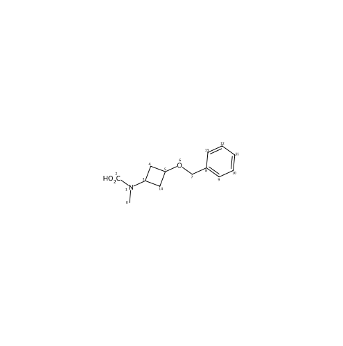 CN(C(=O)O)C1CC(OCc2ccccc2)C1